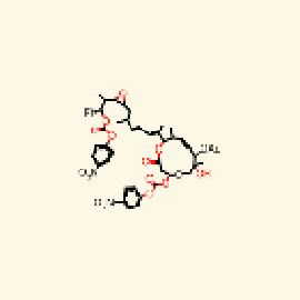 CCC(OC(=O)Oc1ccc([N+](=O)[O-])cc1)C(C)C1OC1CC(C)/C=C/C=C(\C)C1OC(=O)CC(OC(=O)Oc2ccc([N+](=O)[O-])cc2)CCC(C)(O)C(OC(C)=O)/C=C/C1C